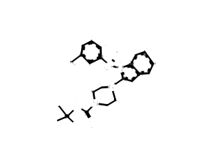 CC(C)(C)OC(=O)N1CCN(c2cc3ccccc3n2S(=O)(=O)c2cccc(Cl)c2)CC1